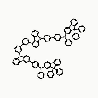 c1ccc(N(c2ccc(-c3ccc(-n4c5ccccc5c5c(-c6cccc(-c7cccc(-n8c9ccccc9c9cc(-c%10ccc(N(c%11ccccc%11)c%11ccc%12c(c%11)C(c%11ccccc%11)(c%11ccccc%11)c%11ccccc%11-%12)cc%10)ccc98)c7)c6)cccc54)cc3)cc2)c2ccc3c(c2)C(c2ccccc2)(c2ccccc2)c2ccccc2-3)cc1